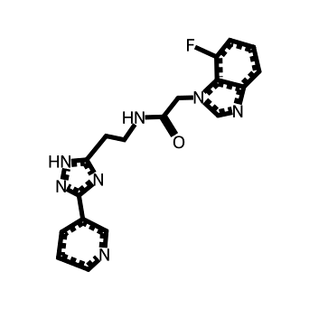 O=C(Cn1cnc2cccc(F)c21)NCCc1nc(-c2cccnc2)n[nH]1